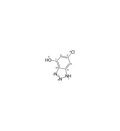 Oc1cc(Cl)cc2[nH]nnc12